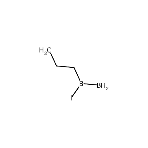 BB(I)CCC